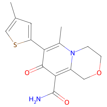 Cc1csc(-c2c(C)n3c(c(C(N)=O)c2=O)COCC3)c1